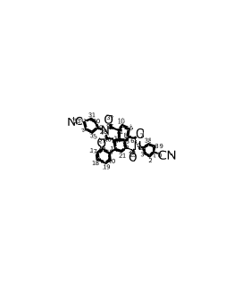 N#Cc1ccc(N2C(=O)c3ccc4c5c(c(-c6ccccc6)cc(c35)C2=O)C(=O)N(c2ccc(C#N)cc2)C4=O)cc1